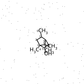 CC1CC2(C)C(O)CC1C2(C)C